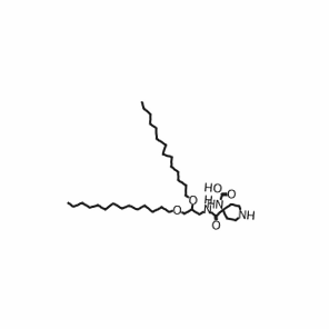 CCCCCCCCCCCCCCOCC(CNC(=O)C1(NC(=O)O)CCNCC1)OCCCCCCCCCCCCCC